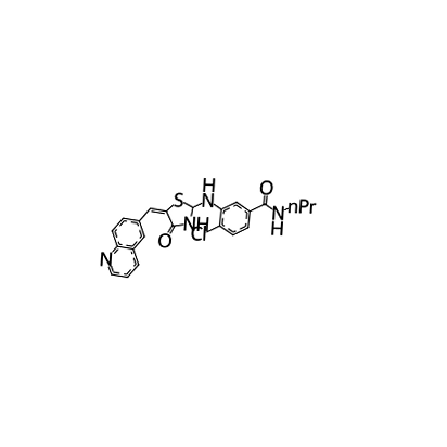 CCCNC(=O)c1ccc(Cl)c(NC2NC(=O)C(=Cc3ccc4ncccc4c3)S2)c1